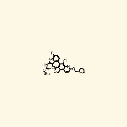 CC(C)(C)OC(=O)Nc1sc2c(F)ccc(-c3c4c(c5ccc(OC[C@H]6CCCO6)nc5c3Cl)COC4)c2c1C#N